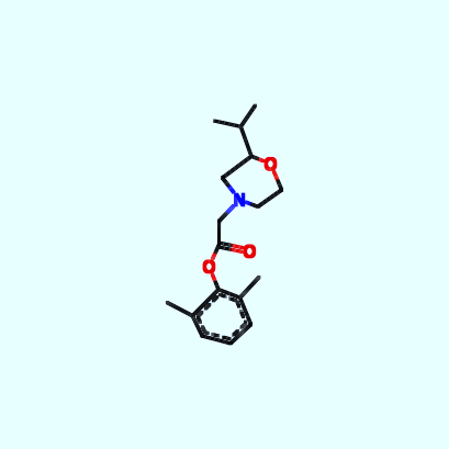 Cc1cccc(C)c1OC(=O)CN1CCOC(C(C)C)C1